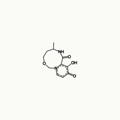 CC1CCOCn2ccc(=O)c(O)c2C(=O)N1